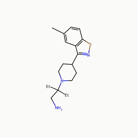 CCC(CC)(CN)N1CCC(c2nsc3ccc(C)cc23)CC1